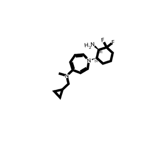 CN(CC1CC1)C1=CC=CN([C@H]2CCCC(F)(F)[C@@H]2N)C=C1